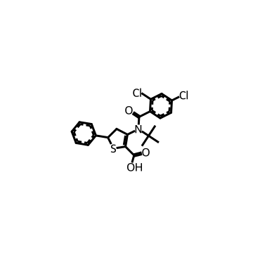 CC(C)(C)N(C(=O)c1ccc(Cl)cc1Cl)C1=C(C(=O)O)SC(c2ccccc2)C1